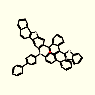 c1ccc(-c2ccc(N(c3ccc(-c4ccccc4)cc3)c3cc4c(cc3-c3ccc(-c5nc6ccccc6o5)c5ccccc35)sc3c5ccccc5ccc43)cc2)cc1